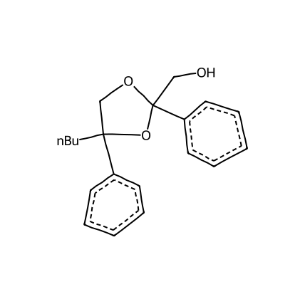 CCCCC1(c2ccccc2)COC(CO)(c2ccccc2)O1